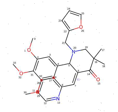 COc1cc(C2/C(=C\c3ccccn3)C(=O)C(C)(C)CN2Cc2ccco2)cc(OC)c1OC